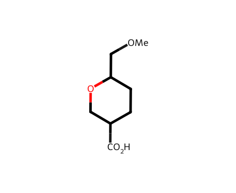 COCC1CCC(C(=O)O)CO1